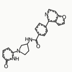 O=C(NC1CCN(c2cccc(=O)[nH]2)C1)c1ccc(-c2nccc3occc23)cc1